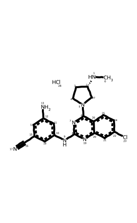 CN[C@H]1CCN(c2nc(Nc3cc(N)cc(C#N)c3)nc3cc(Cl)ccc23)C1.Cl